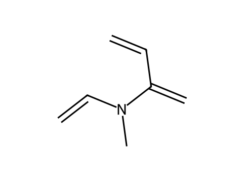 C=CC(=C)N(C)C=C